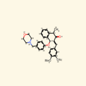 COc1ccc(/C=C/C(=O)C(C)c2ccccc2COc2ccc(CN3CCOCC3)cc2)cc1OC(C)=O